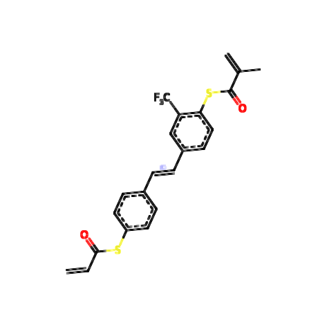 C=CC(=O)Sc1ccc(/C=C/c2ccc(SC(=O)C(=C)C)c(C(F)(F)F)c2)cc1